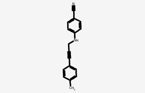 Cc1ccc(C#CCNc2ccc(C#N)cc2)cc1